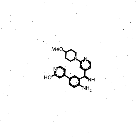 COC1CCN(c2cc(C(=N)c3cc(-c4ccnc(O)c4)ccc3N)ccn2)CC1